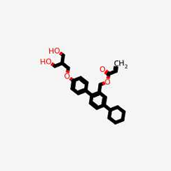 C=CC(=O)OCc1cc(C2CCCCC2)ccc1-c1ccc(OCC(CO)CO)cc1